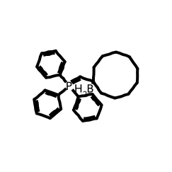 BC1(C=P(c2ccccc2)(c2ccccc2)c2ccccc2)CCCCCCCCC1